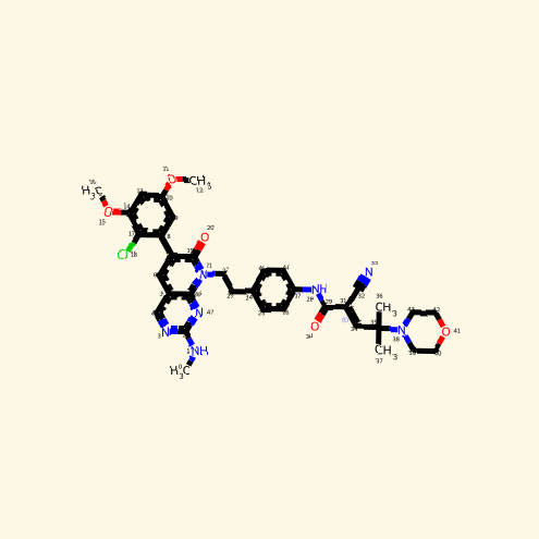 CNc1ncc2cc(-c3cc(OC)cc(OC)c3Cl)c(=O)n(CCc3ccc(NC(=O)/C(C#N)=C/C(C)(C)N4CCOCC4)cc3)c2n1